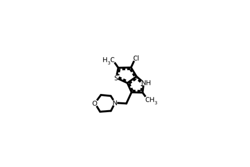 Cc1[nH]c2c(Cl)c(C)sc2c1CN1CCOCC1